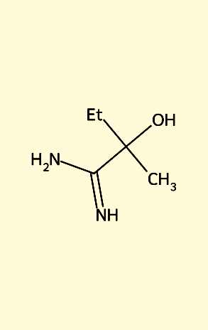 CCC(C)(O)C(=N)N